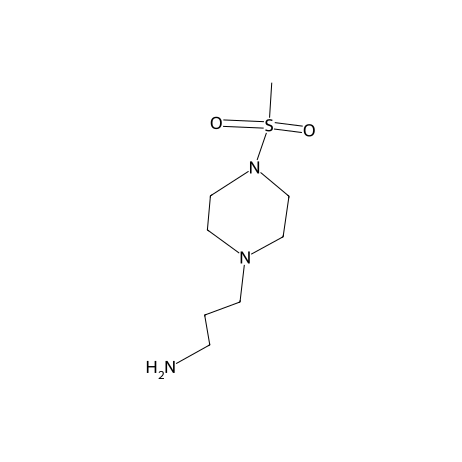 CS(=O)(=O)N1CCN(CCCN)CC1